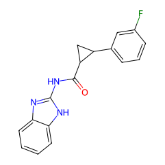 O=C(Nc1nc2ccccc2[nH]1)C1CC1c1cccc(F)c1